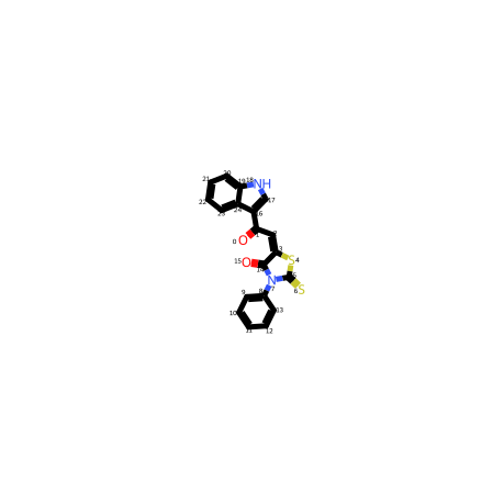 O=C(C=C1SC(=S)N(c2ccccc2)C1=O)c1c[nH]c2ccccc12